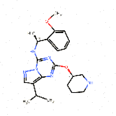 COc1ccccc1[C@H](C)Nc1nc(O[C@@H]2CCCNC2)nc2c(C(C)C)cnn12